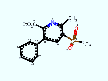 CCOC(=O)c1nc(C)c(S(C)(=O)=O)cc1-c1ccccc1